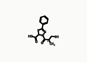 C[C@H](CS)C(=O)N1N=C(c2ccccc2)SC1C(=O)O